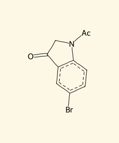 CC(=O)N1CC(=O)c2cc(Br)ccc21